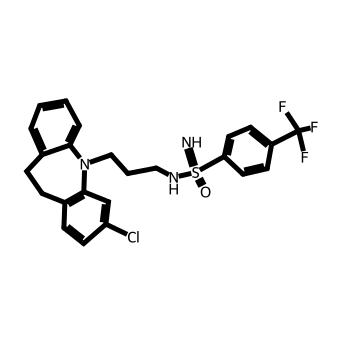 N=S(=O)(NCCCN1c2ccccc2CCc2ccc(Cl)cc21)c1ccc(C(F)(F)F)cc1